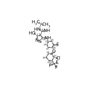 CC(C)NC(=N)c1c(O)nsc1Nc1ccc(Oc2cccc(C(F)(F)F)c2Cl)c(F)c1